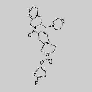 O=C(Oc1ccc(F)cc1)N1CCc2ccc(C(=O)N3Cc4ccccc4C[C@H]3CN3CCOCC3)cc2C1